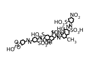 Cc1cc(N=Nc2ccc3c(O)c(N=Nc4ccc(N=Nc5ccc(S(=O)(=O)CCO)cc5)cc4S(=O)(=O)O)c(S(=O)(=O)O)cc3c2S(=O)(=O)O)c(N)c2c(O)c(N=Nc3ccc([N+](=O)[O-])cc3S(=O)(=O)O)c(S(=O)(=O)O)cc12